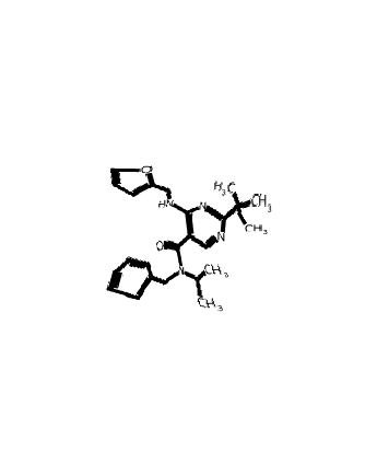 CC(C)N(Cc1ccccc1)C(=O)c1cnc(C(C)(C)C)nc1NCc1ccco1